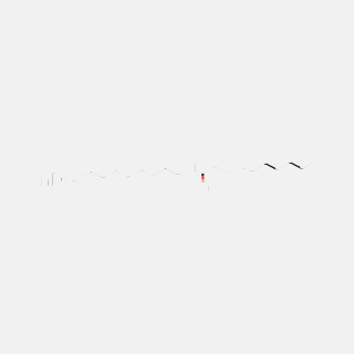 CC=CC=CCSCCC(=O)OCCCCCCCCCCCCCCCCCC